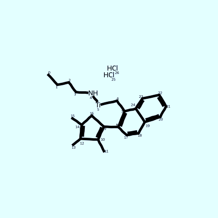 CCCC[NH][Ti][CH2]c1c(C2=C(C)C(C)=C(C)C2)ccc2ccccc12.Cl.Cl